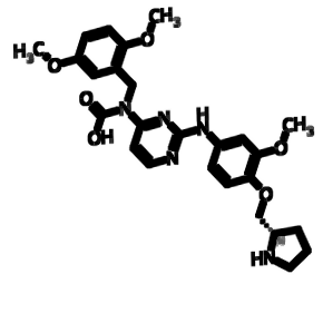 COc1ccc(OC)c(CN(C(=O)O)c2ccnc(Nc3ccc(OC[C@@H]4CCCN4)c(OC)c3)n2)c1